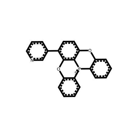 S=P12c3ccccc3Oc3ccc(-c4cccnc4)c(c31)Oc1ccccc12